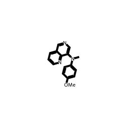 COc1ccc(N(C)c2cncc3cccnc23)cc1